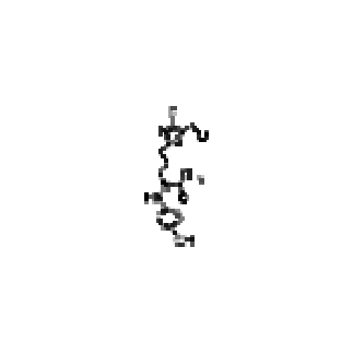 CC(=O)N(CCCc1nc(F)c(C=O)s1)Nc1ccc(O)cc1